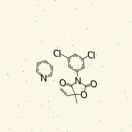 C=CC1(C)OC(=O)N(c2cc(Cl)cc(Cl)c2)C1=O.c1ccncc1